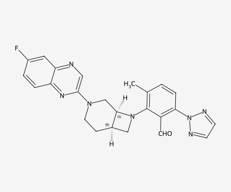 Cc1ccc(-n2nccn2)c(C=O)c1N1C[C@H]2CCN(c3cnc4cc(F)ccc4n3)C[C@H]21